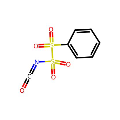 O=C=NS(=O)(=O)S(=O)(=O)c1ccccc1